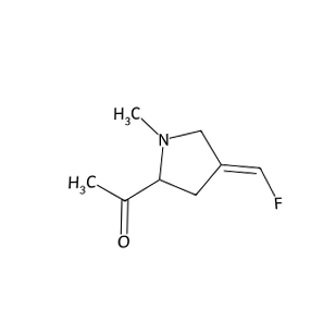 CC(=O)C1C/C(=C\F)CN1C